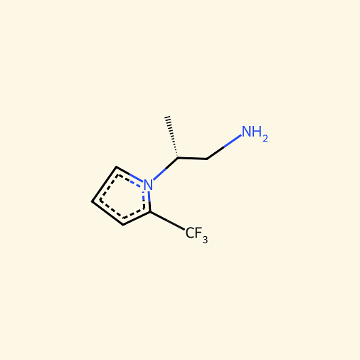 C[C@H](CN)n1cccc1C(F)(F)F